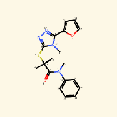 CN(C(=O)C(C)(C)Sc1nnc(-c2ccco2)n1C)c1ccccc1